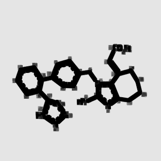 CCCc1nc2c(n1Cc1ccc(-c3ccccc3-c3nnn[nH]3)cc1)C(=CC(=O)OCC)CCCC2